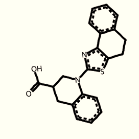 O=C(O)C1Cc2ccccc2N(c2nc3c(s2)CCc2ccccc2-3)C1